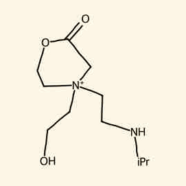 CC(C)NCC[N+]1(CCO)CCOC(=O)C1